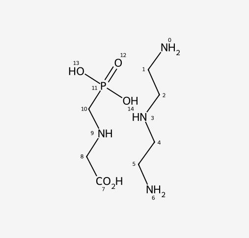 NCCNCCN.O=C(O)CNCP(=O)(O)O